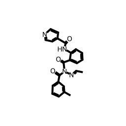 CC=NN(C(=O)c1cccc(C)c1)C(=O)c1ccccc1NC(=O)c1ccncc1